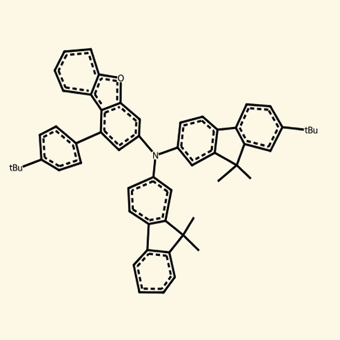 CC(C)(C)c1ccc(-c2cc(N(c3ccc4c(c3)C(C)(C)c3ccccc3-4)c3ccc4c(c3)C(C)(C)c3cc(C(C)(C)C)ccc3-4)cc3oc4ccccc4c23)cc1